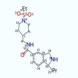 CCS(=O)(=O)N1CCC(CNC(=O)c2ccc3c(c2)CNC3C(C)C)CC1